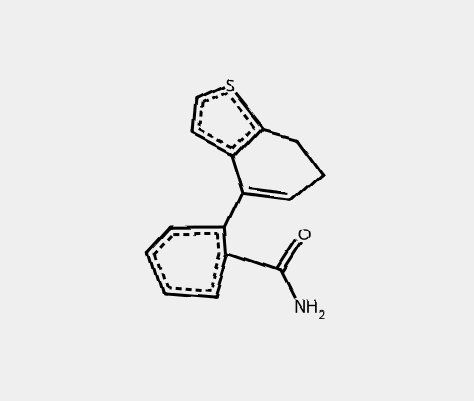 NC(=O)c1ccccc1C1=CCCc2sccc21